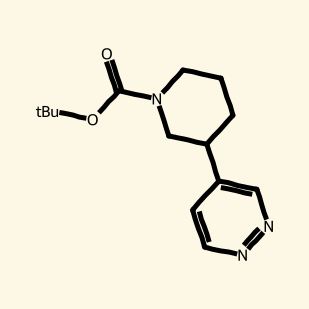 CC(C)(C)OC(=O)N1CCCC(c2ccnnc2)C1